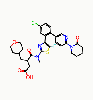 CN(C(=O)C(CC(=O)O)CC1CCOCC1)c1nc(-c2cc(Cl)ccc2-c2ccc(N3CCCCC3=O)nc2)c(F)s1